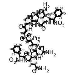 CC(C)C[C@H](NC(=O)[C@H](CC(N)=O)NC(=O)[C@H](CCC(N)=O)NC(=O)C(c1ccccc1)[N+](=O)[O-])C(=O)C=CS(=O)(=O)C=CC(=O)[C@H](CC(C)C)NC(=O)[C@H](CC(N)=O)NC(=O)[C@H](CCC(N)=O)NC(=O)C(c1ccccc1)[N+](=O)[O-]